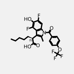 CCCCC[C@H](C(=O)O)c1c(C)n(C(=O)c2ccc(OC(F)(F)F)cc2)c2cc(F)c(O)c(F)c12